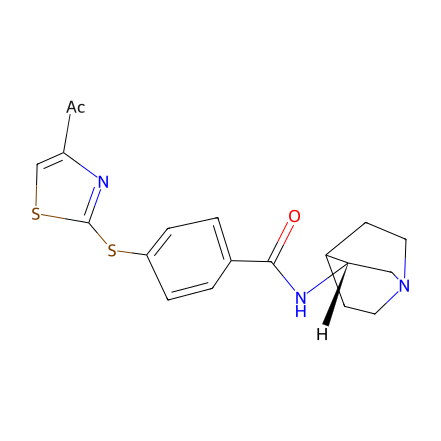 CC(=O)c1csc(Sc2ccc(C(=O)N[C@H]3CN4CCC3CC4)cc2)n1